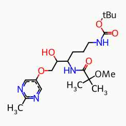 COC(C)(C)C(=O)NC(CCCNC(=O)OC(C)(C)C)C(O)COc1cnc(C)nc1